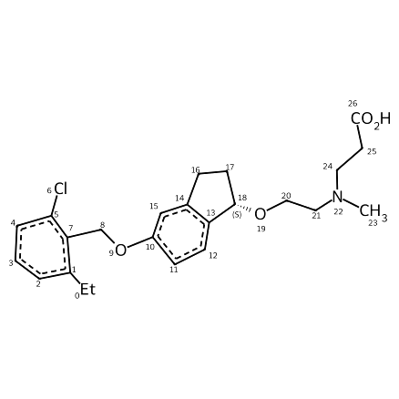 CCc1cccc(Cl)c1COc1ccc2c(c1)CC[C@@H]2OCCN(C)CCC(=O)O